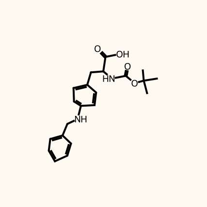 CC(C)(C)OC(=O)NC(Cc1ccc(NCc2ccccc2)cc1)C(=O)O